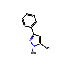 CC(C)c1cc(-c2ccccc2)nn1C(C)(C)C